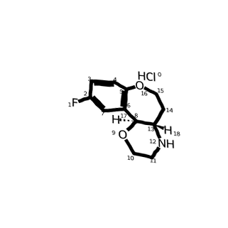 Cl.Fc1ccc2c(c1)[C@@H]1OCCN[C@H]1CCO2